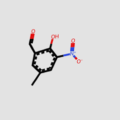 Cc1cc(C=O)c(O)c([N+](=O)[O-])c1